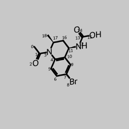 CC(=O)N1c2ccc(Br)cc2[C@H](NC(=O)O)C[C@@H]1C